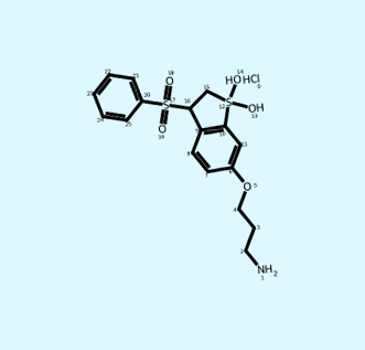 Cl.NCCCOc1ccc2c(c1)S(O)(O)CC2S(=O)(=O)c1ccccc1